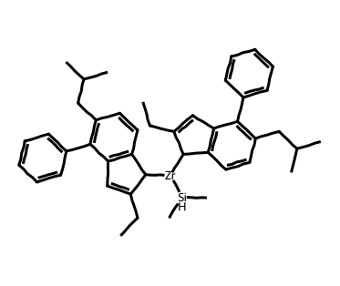 CCC1=Cc2c(ccc(CC(C)C)c2-c2ccccc2)[CH]1[Zr]([CH]1C(CC)=Cc2c1ccc(CC(C)C)c2-c1ccccc1)[SiH](C)C